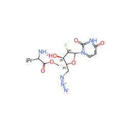 CC(C)C(N)C(=O)OC[C@@]1(CN=[N+]=[N-])OC(n2ccc(=O)[nH]c2=O)[C@H](F)[C@@H]1O